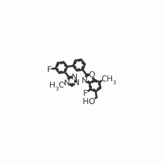 Cc1cc(CO)c(F)c2nc(-c3cccc(-c4ccc(F)cc4-c4nncn4C)c3)oc12